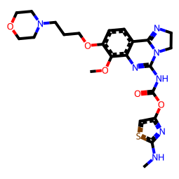 CNc1nc(OC(=O)NC2=Nc3c(ccc(OCCCN4CCOCC4)c3OC)C3=NCCN23)cs1